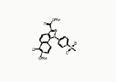 COC(=O)c1nn(-c2ccc(S(C)(=O)=O)cc2)c2c1ccc1c(Cl)c(OC)ccc12